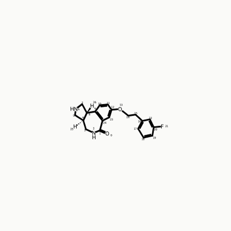 O=C1NC[C@H]2CNC[C@@H]2c2ccc(OCCc3cccc(F)c3)cc21